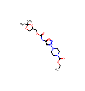 CCOC(=O)N1CCN([n+]2cc([N-]C(=O)OCC3COC(C)(C)O3)on2)CC1